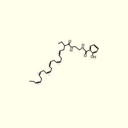 CC/C=C\C/C=C\C/C=C\C/C=C\C/C=C\C/C=C\CC(CC)C(=O)NCCNC(=O)c1ccccc1O